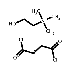 C[N+](C)(C)CCO.O=C(Cl)CCC(=O)Cl